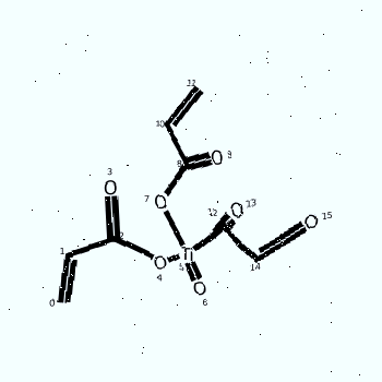 C=CC(=O)[O][Ti](=[O])([O]C(=O)C=C)[C](=O)C=O